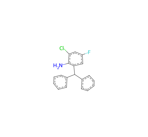 Nc1c(Cl)cc(F)cc1C(c1ccccc1)c1ccccc1